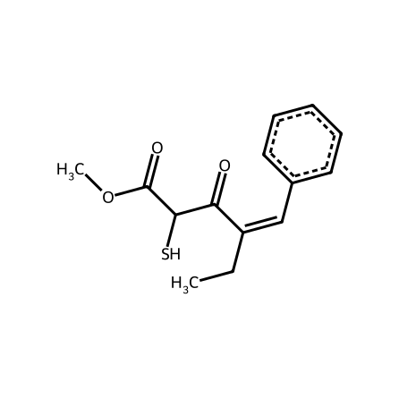 CCC(=Cc1ccccc1)C(=O)C(S)C(=O)OC